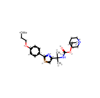 COCCOc1ccc(-c2nc(C(C)(C)NC(=O)OC3CN4CCC3CC4)cs2)cc1